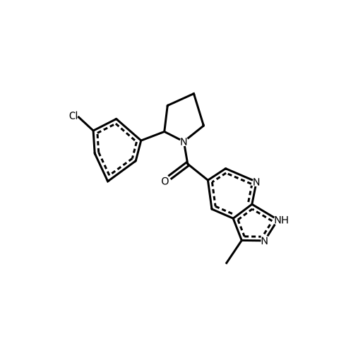 Cc1n[nH]c2ncc(C(=O)N3CCCC3c3cccc(Cl)c3)cc12